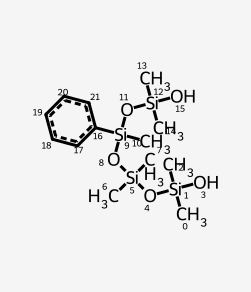 C[Si](C)(O)O[Si](C)(C)O[Si](C)(O[Si](C)(C)O)c1ccccc1